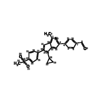 Cc1nc(-c2ccc(C=O)cc2)cc2c1cc(-c1ccc(S(C)(=O)=O)cc1)n2C1CC1